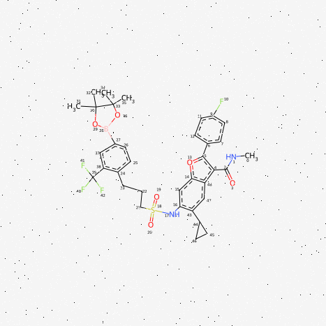 CNC(=O)c1c(-c2ccc(F)cc2)oc2cc(NS(=O)(=O)CCCc3ccc(B4OC(C)(C)C(C)(C)O4)cc3C(F)(F)F)c(C3CC3)cc12